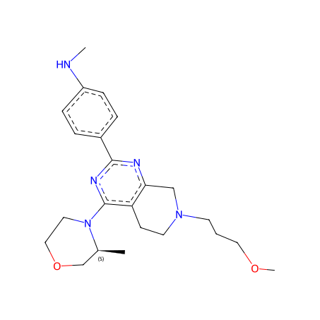 CNc1ccc(-c2nc3c(c(N4CCOC[C@@H]4C)n2)CCN(CCCOC)C3)cc1